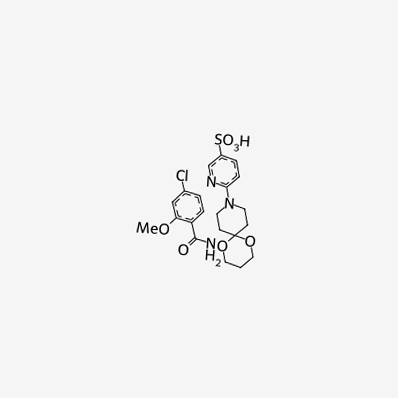 COc1cc(Cl)ccc1C(N)=O.O=S(=O)(O)c1ccc(N2CCC3(CC2)OCCCO3)nc1